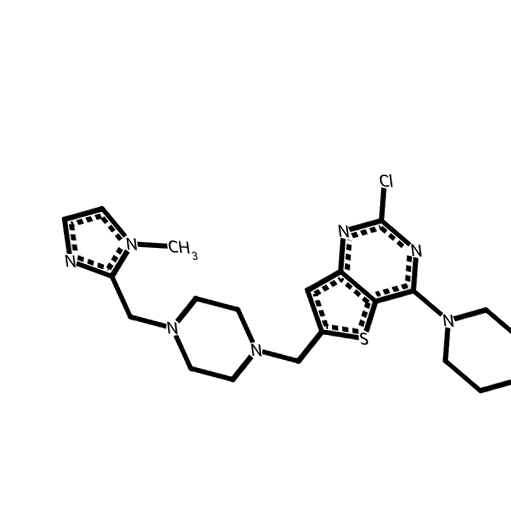 Cn1ccnc1CN1CCN(Cc2cc3nc(Cl)nc(N4CCOCC4)c3s2)CC1